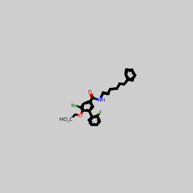 O=C(O)COc1c(Br)cc(C(=O)NCCCCCCc2ccccc2)cc1-c1ccccc1F